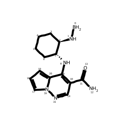 BN[C@@H]1CCCC[C@H]1Nc1c(C(N)=O)cnn2cccc12